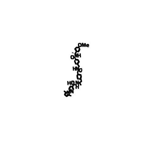 COc1ccc([C@@H](C)NC(=O)c2ccc(CNC(=O)Cc3ccc(CC(C)NC[C@@H](O)c4ccc(-n5c(C)ccc5C)nc4)cc3)cc2)cc1